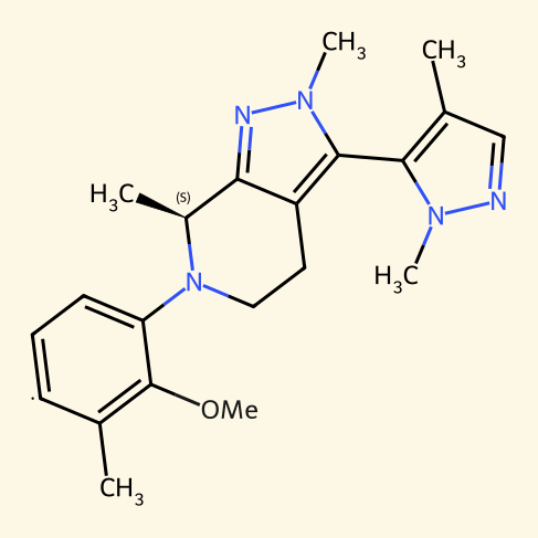 COc1c(C)[c]ccc1N1CCc2c(nn(C)c2-c2c(C)cnn2C)[C@@H]1C